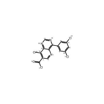 O=C(Cl)c1cnc2c(-c3cc(Cl)cc(Cl)c3)ncnc2c1Cl